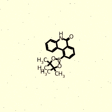 CC1(C)OB(c2cccc3c(=O)[nH]c4ccccc4c23)OC1(C)C